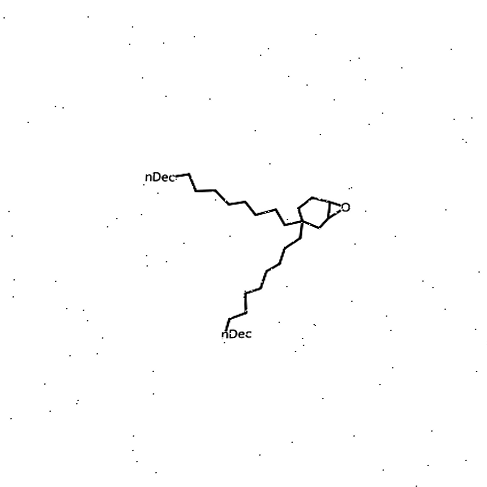 CCCCCCCCCCCCCCCCCCC1(CCCCCCCCCCCCCCCCCC)CCC2OC2C1